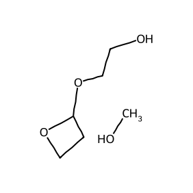 CO.OCCOC1CCO1